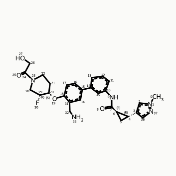 Cn1cc([C@@H]2C[C@H]2C(=O)Nc2cccc(-c3ccc(O[C@H]4CCN(C(=O)CO)C[C@H]4F)c(CN)c3)c2)cn1